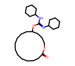 O=C1CCCCCCCCCCC(OC(=NC2CCCCC2)NC2CCCCC2)CCCO1